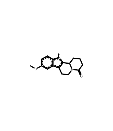 COc1ccc2[nH]c3c(c2c1)CCN1C(=O)CCCC31